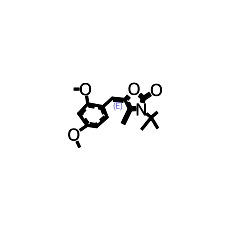 C=c1/c(=C\c2ccc(OC)cc2OC)oc(=O)n1C(C)(C)C